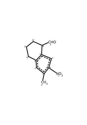 Cc1cc2c(cc1[N+](=O)[O-])C(C=O)CCC2